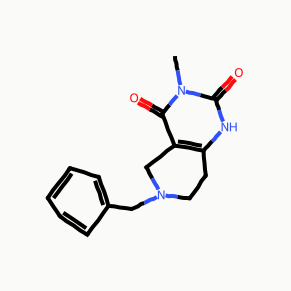 Cn1c(=O)[nH]c2c(c1=O)CN(Cc1ccccc1)CC2